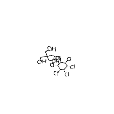 Cl[C@H]1[C@H](Cl)[C@@H](Cl)[C@@H](Cl)[C@H](Cl)[C@H]1Cl.OCC(CO)(CO)CO